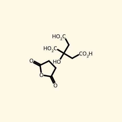 O=C(O)CC(O)(CC(=O)O)C(=O)O.O=C1CCC(=O)O1